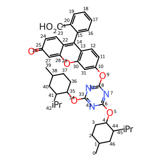 CC1CCC(Oc2nc(Oc3ccc4c(-c5ccccc5C(=O)O)c5ccc(=O)cc-5oc4c3)nc(OC3CCC(C)CC3C(C)C)n2)C(C(C)C)C1